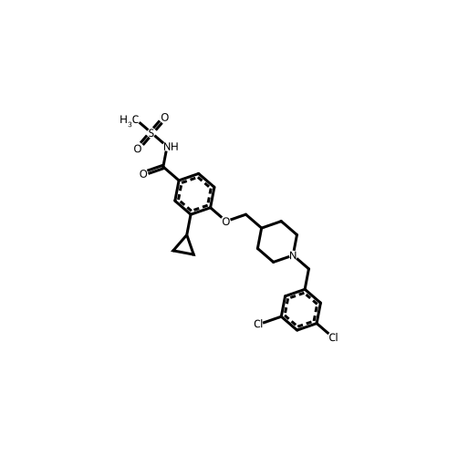 CS(=O)(=O)NC(=O)c1ccc(OCC2CCN(Cc3cc(Cl)cc(Cl)c3)CC2)c(C2CC2)c1